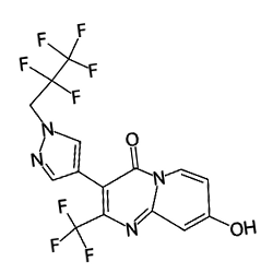 O=c1c(-c2cnn(CC(F)(F)C(F)(F)F)c2)c(C(F)(F)F)nc2cc(O)ccn12